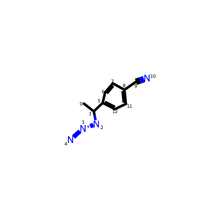 CC(N=[N+]=[N-])c1ccc(C#N)cc1